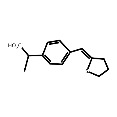 CC(C(=O)O)c1ccc(/C=C2/CCCS2)cc1